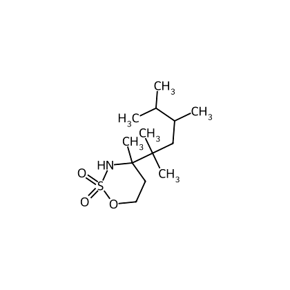 CC(C)C(C)CC(C)(C)C1(C)CCOS(=O)(=O)N1